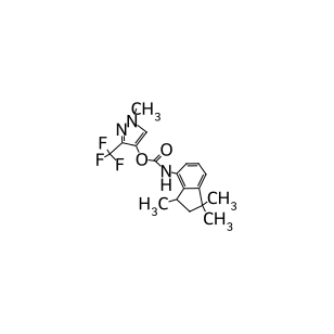 CC1CC(C)(C)c2cccc(NC(=O)Oc3cn(C)nc3C(F)(F)F)c21